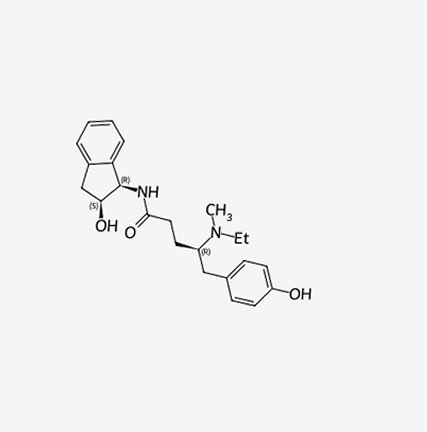 CCN(C)[C@H](CCC(=O)N[C@@H]1c2ccccc2C[C@@H]1O)Cc1ccc(O)cc1